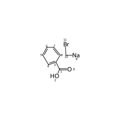 O=C(O)c1ccccc1.[Na][CH2]Br